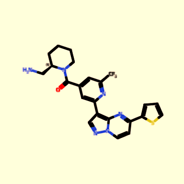 NC[C@H]1CCCCN1C(=O)c1cc(-c2cnn3ccc(-c4cccs4)nc23)nc(C(F)(F)F)c1